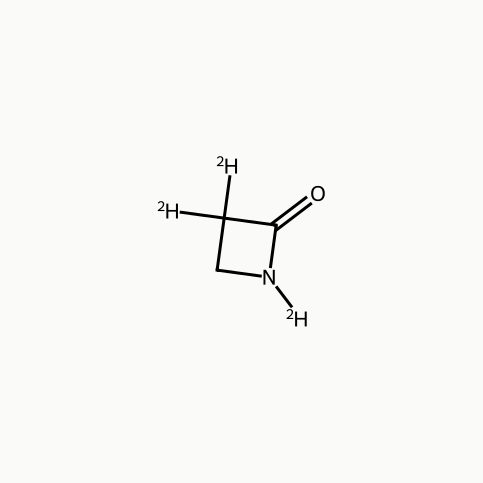 [2H]N1CC([2H])([2H])C1=O